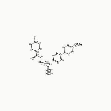 COc1ccc(-c2ccc([C@@H]3C[C@H]3NCC(=O)N3CCN(C)CC3)cc2)cc1.Cl.Cl